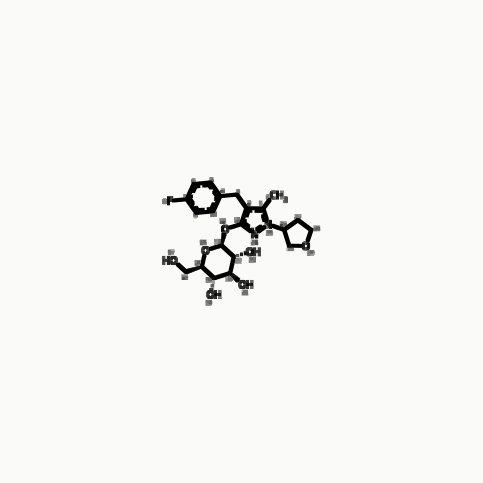 Cc1c(Cc2ccc(F)cc2)c(O[C@@H]2O[C@H](CO)[C@@H](O)[C@H](O)[C@H]2O)nn1C1CCOC1